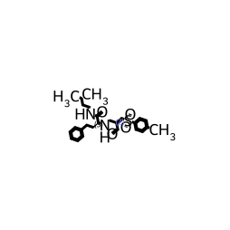 Cc1ccc(S(=O)(=O)/C=C(\C=O)CN[C@@H](CCc2ccccc2)C(=O)NCCC(C)C)cc1